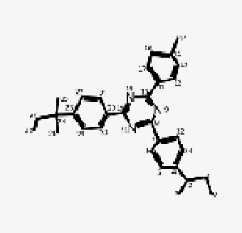 CCC(C)c1ccc(-c2nc(-c3ccc(C)cc3)nc(-c3ccc(C(C)(C)CC)cc3)n2)cc1